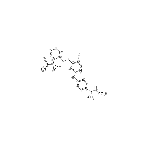 CC(NC(=O)O)c1ccc(Nc2ncc(Cl)c(CCc3ccccc3C3(C(N)=O)CC3)n2)cc1